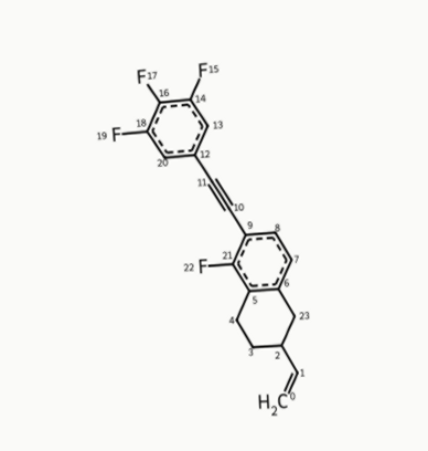 C=CC1CCc2c(ccc(C#Cc3cc(F)c(F)c(F)c3)c2F)C1